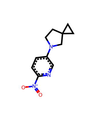 O=[N+]([O-])c1ccc(N2CCC3(CC3)C2)cn1